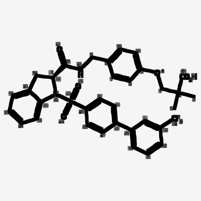 CC(C)(COc1ccc(CNC(=O)[C@@H]2Cc3ccccc3N2S(=O)(=O)c2ccc(-c3cccc(C(F)(F)F)c3)cc2)cc1)C(=O)O